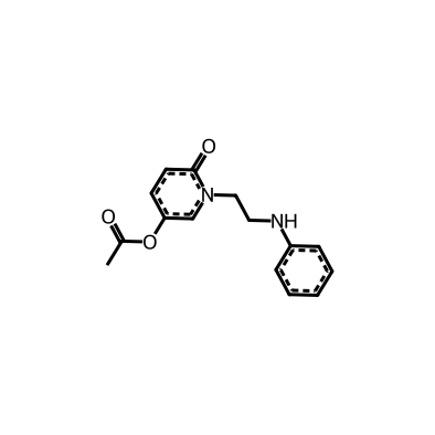 CC(=O)Oc1ccc(=O)n(CCNc2ccccc2)c1